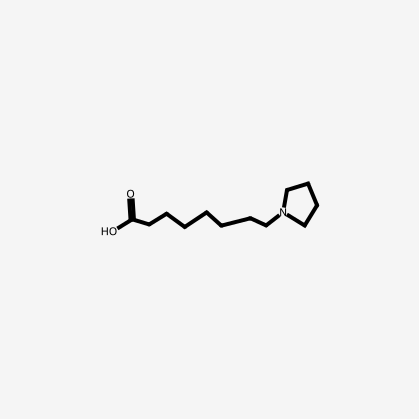 O=C(O)CCCCCCCN1CCCC1